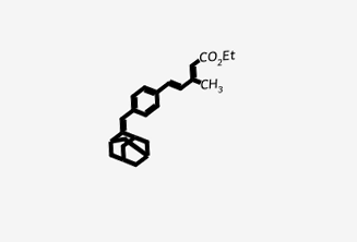 CCOC(=O)C=C(C)C=Cc1ccc(C=C2C3CC4CC(C3)CC2C4)cc1